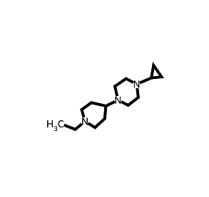 CCN1CCC(N2CCN(C3CC3)CC2)CC1